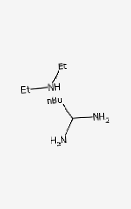 CCCCC(N)N.CCNCC